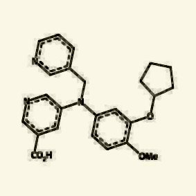 COc1ccc(N(Cc2cccnc2)c2cncc(C(=O)O)c2)cc1OC1CCCC1